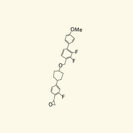 COc1ccc(-c2ccc(COC3CCC(c4ccc(C5CO5)c(F)c4)CC3)c(F)c2F)cc1